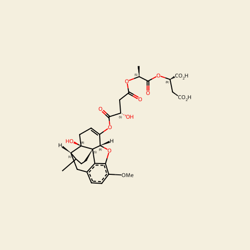 COc1ccc2c3c1O[C@H]1C(OC(=O)[C@@H](O)CC(=O)O[C@@H](C)C(=O)O[C@H](CC(=O)O)C(=O)O)=CC[C@@]4(O)[C@@H](C2)C(C)CC[C@]314